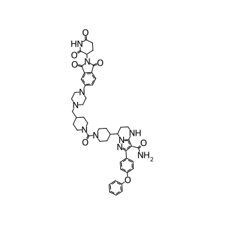 NC(=O)c1c(-c2ccc(Oc3ccccc3)cc2)nn2c1NCCC2C1CCN(C(=O)N2CCC(CN3CCN(c4ccc5c(c4)C(=O)N(C4CCC(=O)NC4=O)C5=O)CC3)CC2)CC1